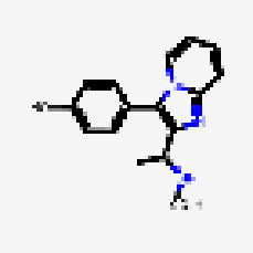 CC(NC(=O)O)c1nc2ccccn2c1-c1ccc(C#N)cc1